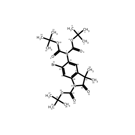 CC(C)(C)OC(=O)N(C(=O)OC(C)(C)C)c1cc2c(cc1Br)N(C(=O)OC(C)(C)C)C(=O)C2(C)C